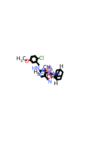 COc1ccc(Cl)c(CNc2ncc(C#N)c(NC[C@]34CC5C[C@H](C3)[C@@H](NC(=O)OC(C)(C)C)[C@@H](C5)C4)n2)c1